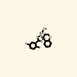 CC(=O)N1N=C(c2cc(F)ccc2F)S[C@@]12c1ccccc1OC[C@H]2CC#N